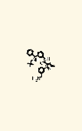 Cc1cc(C(=O)Nc2cccc(C(NCC(C)(C)C)c3ccccc3)c2)n(-c2cccc(CN)c2)n1